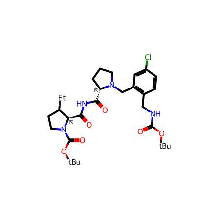 CCC1CCN(C(=O)OC(C)(C)C)[C@@H]1C(=O)NC(=O)[C@@H]1CCCN1Cc1cc(Cl)ccc1CNC(=O)OC(C)(C)C